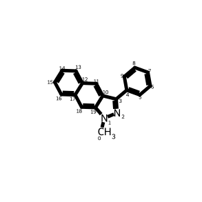 Cn1nc(-c2ccccc2)c2cc3ccccc3cc21